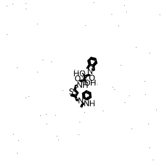 CC1Nc2ccccc2N1CC1=CSC(CNC(=O)[C@H](O)[C@@H](O)C(=O)N2Cc3ccccc3C2)C1